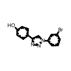 Oc1ccc(-c2cn(-c3cccc(Br)c3)nn2)cc1